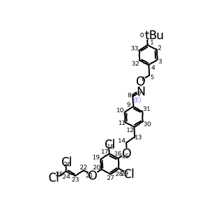 CC(C)(C)c1ccc(CO/N=C/c2ccc(CCOc3c(Cl)cc(OCC=C(Cl)Cl)cc3Cl)cc2)cc1